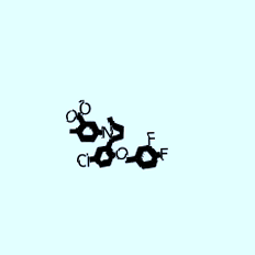 COC(=O)c1cc(-n2c(C)ccc2-c2cc(Cl)ccc2OCc2ccc(F)c(F)c2)ccc1C